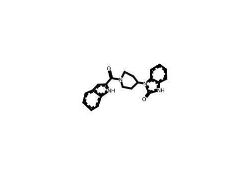 O=C(c1cc2ccccc2[nH]1)N1CCC(n2c(=O)[nH]c3ccccc32)CC1